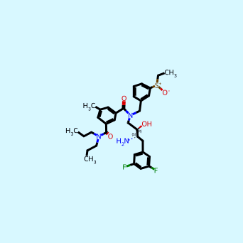 CCCN(CCC)C(=O)c1cc(C)cc(C(=O)N(Cc2cccc([S+]([O-])CC)c2)C[C@@H](O)[C@@H](N)Cc2cc(F)cc(F)c2)c1